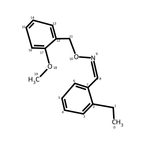 CCc1ccccc1/[C]=N\OCc1ccccc1OC